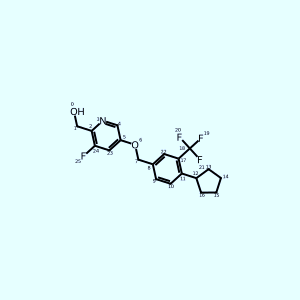 OCc1ncc(OCc2ccc(C3CCCC3)c(C(F)(F)F)c2)cc1F